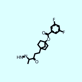 CC(N=N)C(=O)CCC12CCC(OC(=O)c3cc(F)cc(F)c3)(CC1)C2